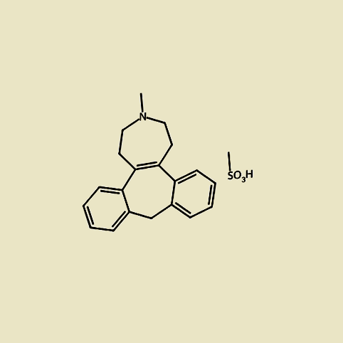 CN1CCC2=C(CC1)c1ccccc1Cc1ccccc12.CS(=O)(=O)O